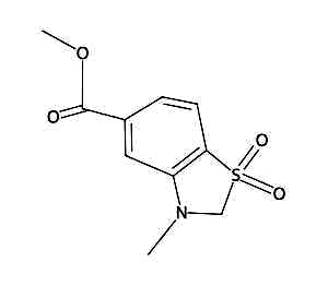 COC(=O)c1ccc2c(c1)N(C)CS2(=O)=O